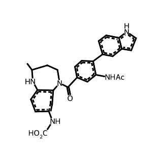 CC(=O)Nc1cc(C(=O)N2CCC(C)Nc3ccc(NC(=O)O)cc32)ccc1-c1ccc2[nH]ccc2c1